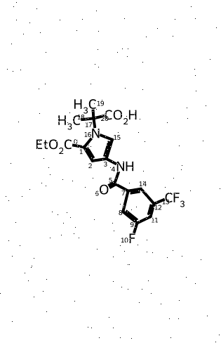 CCOC(=O)c1cc(NC(=O)c2cc(F)cc(C(F)(F)F)c2)cn1C(C)(C)C(=O)O